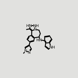 CC1=C2c3ccc(-c4cnn(C)c4)cc3C(Nc3cccc4[nH]ccc34)CCN2NN1